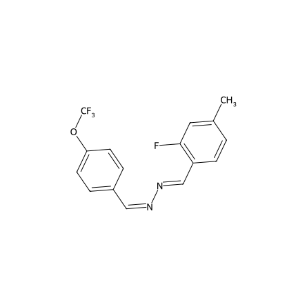 Cc1ccc(/C=N/N=C\c2ccc(OC(F)(F)F)cc2)c(F)c1